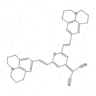 N#CC(C#N)=C1C=C(/C=C/c2cc3c4c(c2)CCCN4CCC3)OC(/C=C/c2cc3c4c(c2)CCCN4CCC3)=C1